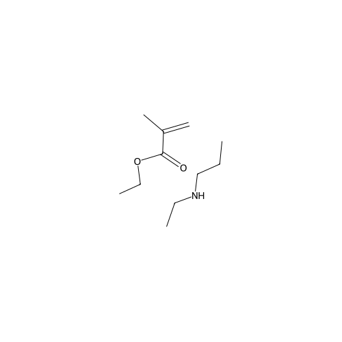 C=C(C)C(=O)OCC.CCCNCC